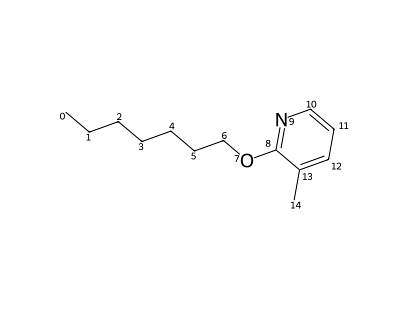 CCCCCCCOc1ncccc1C